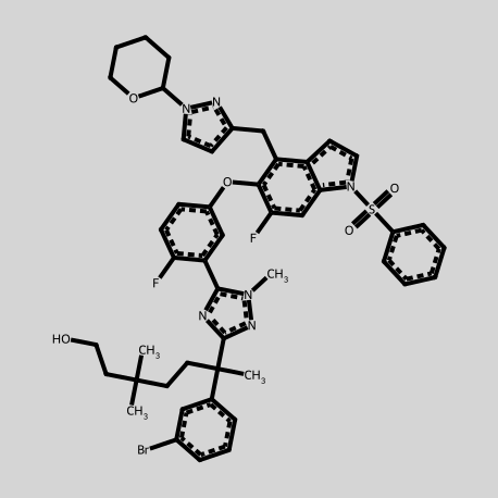 Cn1nc(C(C)(CCC(C)(C)CCO)c2cccc(Br)c2)nc1-c1cc(Oc2c(F)cc3c(ccn3S(=O)(=O)c3ccccc3)c2Cc2ccn(C3CCCCO3)n2)ccc1F